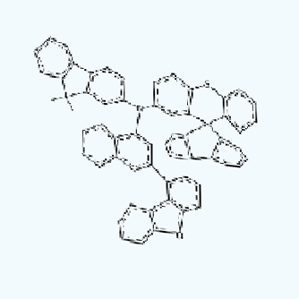 CC1(C)c2ccccc2-c2ccc(N(c3ccc4c(c3)C3(c5ccccc5S4)c4ccccc4-c4ccccc43)c3cc(-c4cccc5oc6ccccc6c45)cc4ccccc34)cc21